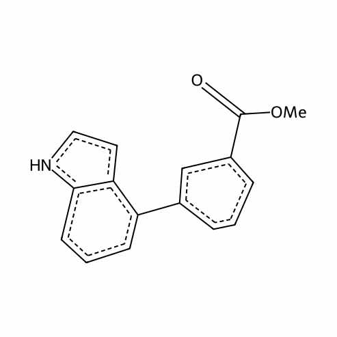 COC(=O)c1cccc(-c2cccc3[nH]ccc23)c1